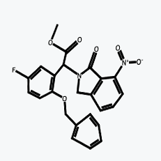 COC(=O)C(c1cc(F)ccc1OCc1ccccc1)N1Cc2cccc([N+](=O)[O-])c2C1=O